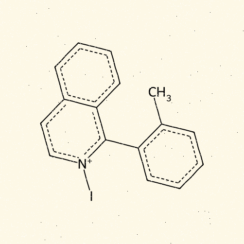 Cc1ccccc1-c1c2ccccc2cc[n+]1I